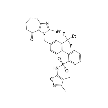 CCCc1nc2c(n1Cc1ccc(-c3ccccc3S(=O)(=O)Nc3onc(C)c3C)c(C(F)(F)CC)c1)C(=O)CCCC2